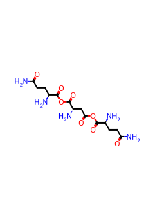 NC(=O)CC[C@H](N)C(=O)OC(=O)C[C@H](N)C(=O)OC(=O)[C@@H](N)CCC(N)=O